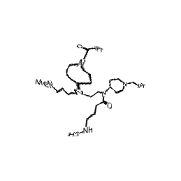 CNCCCN(CCN(C(=O)CCCNS)C1CCN(CC(C)C)CC1)C1CCN(C(=O)C(C)C)CC1